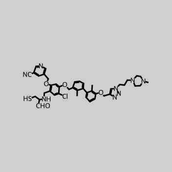 Cc1c(COc2cc(OCc3cncc(C#N)c3)c(CNC(C=O)CS)cc2Cl)cccc1-c1cccc(OCc2cn(CCCN3CCN(C)CC3)nn2)c1C